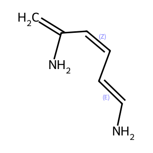 C=C(N)/C=C\C=C\N